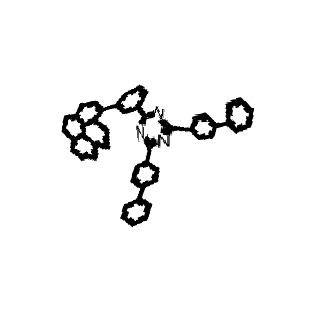 c1ccc(-c2ccc(-c3nc(-c4ccc(-c5ccccc5)cc4)nc(-c4cccc(-c5ccc6ccc7cccc8ccc5c6c78)c4)n3)cc2)cc1